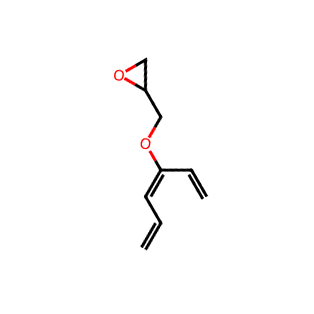 C=C/C=C(\C=C)OCC1CO1